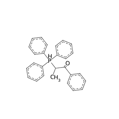 CC(C(=O)c1ccccc1)[PH](c1ccccc1)(c1ccccc1)c1ccccc1